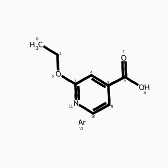 CCOc1cc(C(=O)O)ccn1.[Ar]